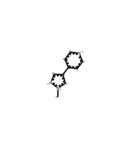 Cn1cc(-c2ccncc2)cn1